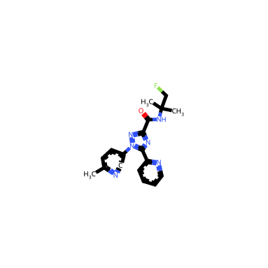 Cc1ccc(-n2nc(C(=O)NC(C)(C)CF)nc2-c2ccccn2)cn1